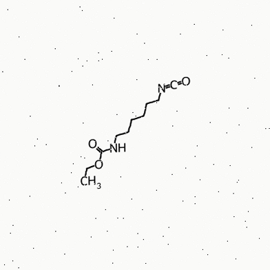 CCOC(=O)NCCCCCCN=C=O